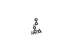 [C]c1c(C(F)(F)F)cc(-c2ccc(Oc3cccc(-c4ccccc4)c3)cc2)n(Cc2ccc(C)cc2C)c1=O